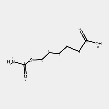 NC(=O)SCCCCCC(=O)O